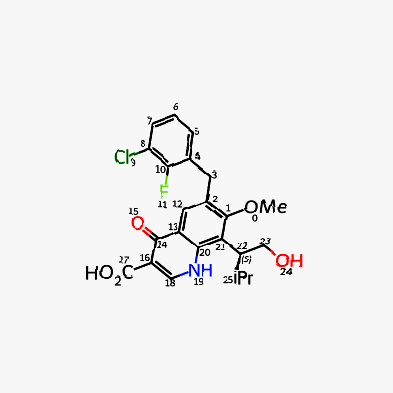 COc1c(Cc2cccc(Cl)c2F)cc2c(=O)c(C(=O)O)c[nH]c2c1[C@@H](CO)C(C)C